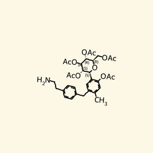 CC(=O)OC[C@H]1O[C@@H](c2cc(Cc3ccc(CCN)cc3)c(C)cc2OC(C)=O)[C@H](OC(C)=O)[C@@H](OC(C)=O)[C@@H]1OC(C)=O